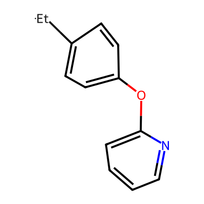 C[CH]c1ccc(Oc2ccccn2)cc1